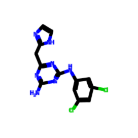 Nc1nc(Cc2ncc[nH]2)nc(Nc2cc(Cl)cc(Cl)c2)n1